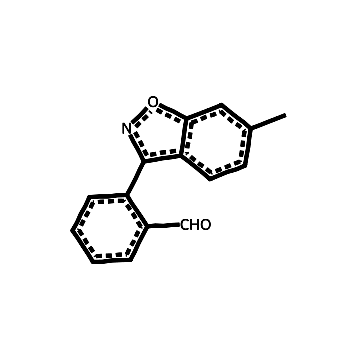 Cc1ccc2c(-c3ccccc3C=O)noc2c1